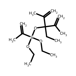 C=C(C)C(CC)(O[Si](OCC)(OCC)C(=C)C)C(=C)C